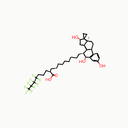 C[C@]12CCC3c4ccc(O)cc4[C@@H](O)[C@@H](CCCCCCCCCC(CCCC(F)(F)C(F)(F)C(F)(F)C(F)(F)F)C(=O)O)C3C1C[C@@H](O)C21CC1